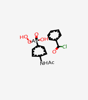 CC(=O)Nc1ccc([As](=O)(O)OO)cc1.O=C(Cl)c1ccccc1